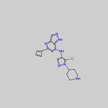 Clc1c(Nc2nc(C3=CC=C3)nc3cn[nH]c23)cnn1C1CCNCC1